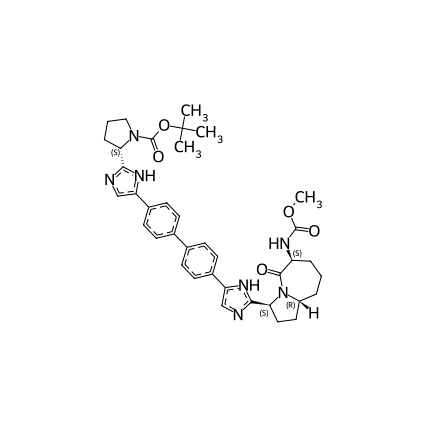 COC(=O)N[C@H]1CCC[C@@H]2CC[C@@H](c3ncc(-c4ccc(-c5ccc(-c6cnc([C@@H]7CCCN7C(=O)OC(C)(C)C)[nH]6)cc5)cc4)[nH]3)N2C1=O